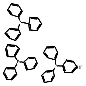 F.c1ccc(P(c2ccccc2)c2ccccc2)cc1.c1ccc(P(c2ccccc2)c2ccccc2)cc1.c1ccc(P(c2ccccc2)c2ccccc2)cc1